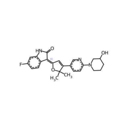 CC1(C)O/C(=C2/C(=O)Nc3cc(F)ccc32)C=C1c1ccc(N2CCCC(O)C2)nc1